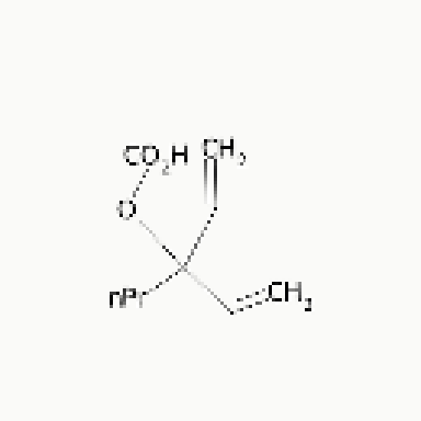 C=CC(C=C)(CCC)OC(=O)O